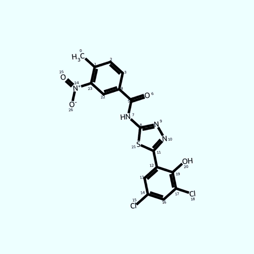 Cc1ccc(C(=O)Nc2nnc(-c3cc(Cl)cc(Cl)c3O)s2)cc1[N+](=O)[O-]